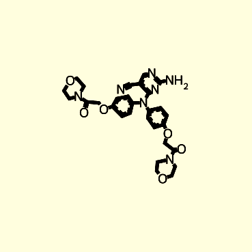 N#Cc1cnc(N)nc1N(c1ccc(OCC(=O)N2CCOCC2)cc1)c1ccc(OCC(=O)N2CCOCC2)cc1